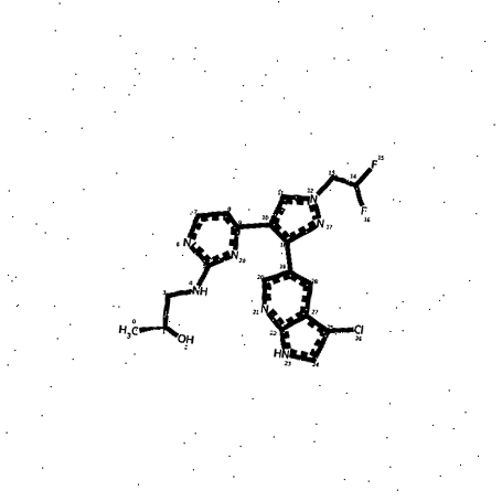 C[C@H](O)CNc1nccc(-c2cn(CC(F)F)nc2-c2cnc3[nH]cc(Cl)c3c2)n1